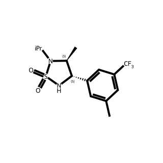 Cc1cc([C@@H]2NS(=O)(=O)N(C(C)C)[C@H]2C)cc(C(F)(F)F)c1